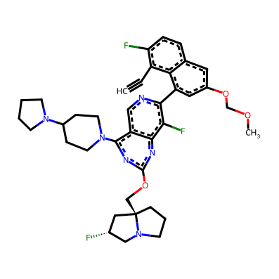 C#Cc1c(F)ccc2cc(OCOC)cc(-c3ncc4c(N5CCC(N6CCCC6)CC5)nc(OC[C@@]56CCCN5C[C@H](F)C6)nc4c3F)c12